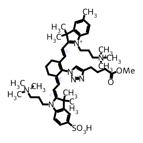 COC(=O)CCCc1cn(C2=C(/C=C/C3=[N+](CCC[N+](C)(C)C)c4ccc(C)cc4C3(C)C)CCC/C2=C\C=C2\N(CCC[N+](C)(C)C)c3ccc(S(=O)(=O)O)cc3C2(C)C)nn1